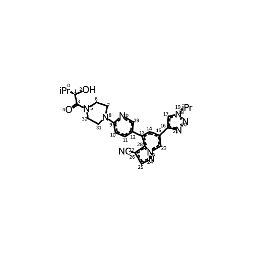 CC(C)[C@@H](O)C(=O)N1CCN(c2ccc(-c3cc(-c4cn(C(C)C)nn4)cn4ncc(C#N)c34)cn2)CC1